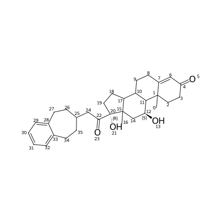 CC12CCC(=O)C=C1CCC1C2[C@@H](O)CC2(C)C1CC[C@]2(O)C(=O)CC1CCc2ccccc2CC1